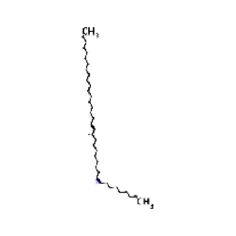 CCCCCCCC/C=C\CCCCCCC[CH]C=CCCCCCCCCCCCCCCCCC